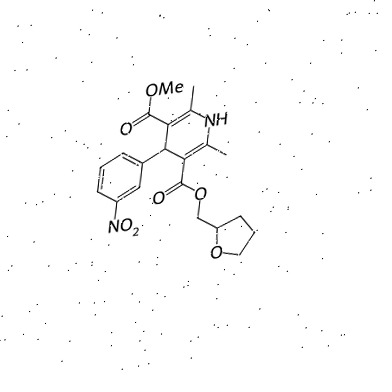 COC(=O)C1=C(C)NC(C)=C(C(=O)OCC2CCCO2)C1c1cccc([N+](=O)[O-])c1